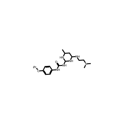 CC1CC(NCCN(C)C)NC(NC(=O)Nc2ccc(OC(C)C)cc2)N1